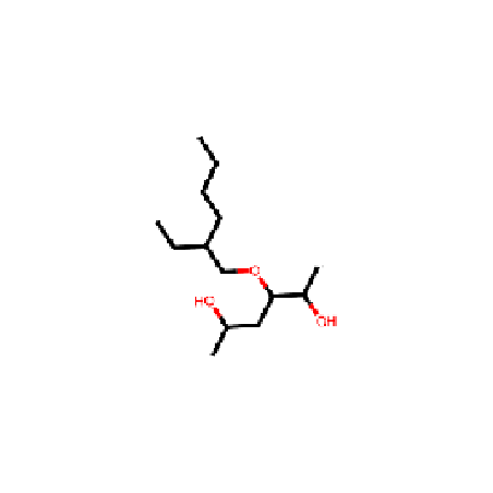 [CH2]C(O)C(CC(C)O)OCC(CC)CCCC